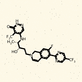 C[C@H](Nc1cn[nH]c(=O)c1C(F)(F)F)[C@@H](O)CCN1C=Cc2cc(-c3ncc(C(F)(F)F)cn3)c(F)cc2C1